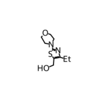 CCc1nc(N2CCOCC2)sc1CO